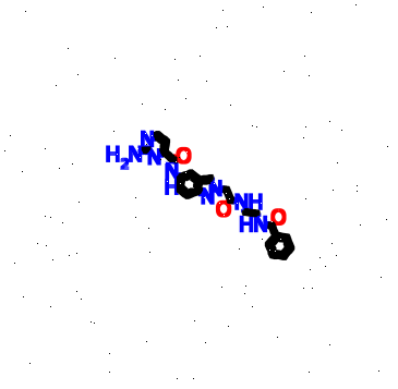 Nc1nccc(C(=O)Nc2ccc3nn(CC(=O)NCCNC(=O)c4ccccc4)cc3c2)n1